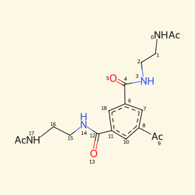 CC(=O)NCCNC(=O)c1cc(C(C)=O)cc(C(=O)NCCNC(C)=O)c1